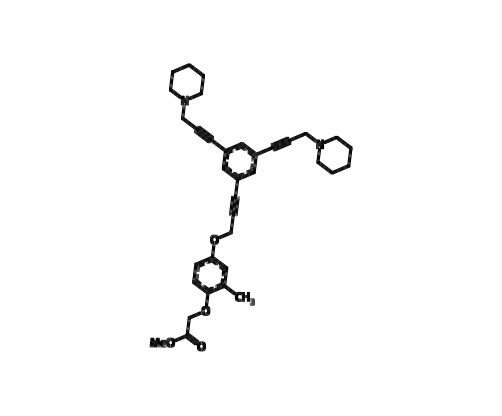 COC(=O)COc1ccc(OCC#Cc2cc(C#CCN3CCCCC3)cc(C#CCN3CCCCC3)c2)cc1C